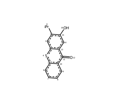 CC(C)c1cc2sc3ccccc3c(=O)c2cc1O